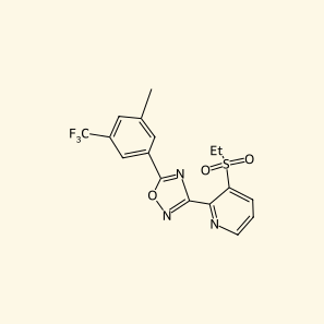 CCS(=O)(=O)c1cccnc1-c1noc(-c2cc(C)cc(C(F)(F)F)c2)n1